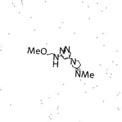 CN[C@H]1CCN(c2cnnc(NCCOC)c2)C1